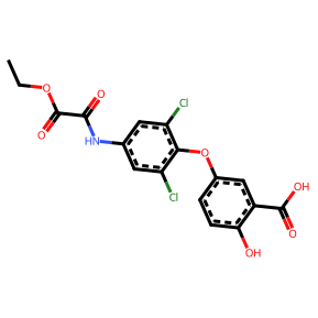 CCOC(=O)C(=O)Nc1cc(Cl)c(Oc2ccc(O)c(C(=O)O)c2)c(Cl)c1